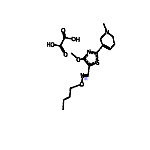 CCCCO/N=C/c1sc(C2=CCCN(C)C2)nc1OC.O=C(O)C(=O)O